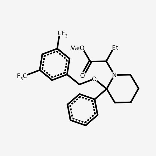 CCC(C(=O)OC)N1CCCCC1(OCc1cc(C(F)(F)F)cc(C(F)(F)F)c1)c1ccccc1